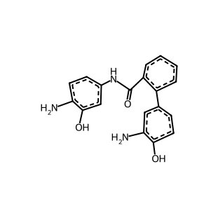 Nc1cc(-c2ccccc2C(=O)Nc2ccc(N)c(O)c2)ccc1O